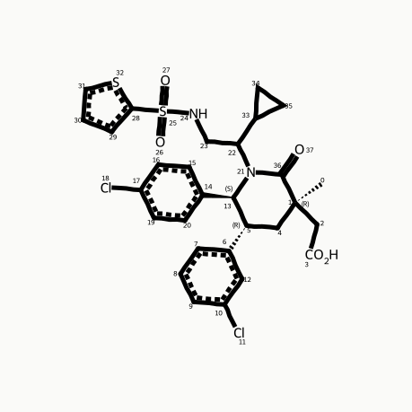 C[C@]1(CC(=O)O)C[C@H](c2cccc(Cl)c2)[C@@H](c2ccc(Cl)cc2)N(C(CNS(=O)(=O)c2cccs2)C2CC2)C1=O